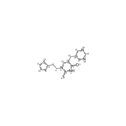 O=c1[nH]c(=S)n(CCc2cccs2)cc1Cc1cncnc1